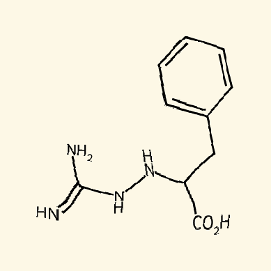 N=C(N)NNC(Cc1ccccc1)C(=O)O